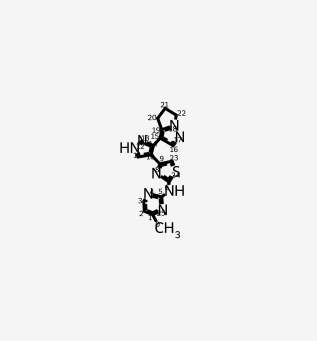 Cc1ccnc(Nc2nc(-c3c[nH]nc3-c3cnn4c3CCC4)cs2)n1